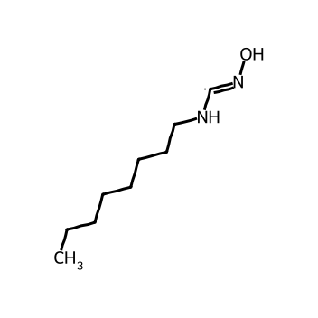 CCCCCCCCN[C]=NO